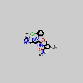 CCNC(=O)c1cc(C#N)cc(C)c1NC(=O)c1cc(Cn2ncc(C(F)(F)F)n2)nn1-c1ccccc1Cl